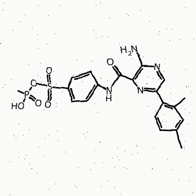 Cc1ccc(-c2cnc(N)c(C(=O)Nc3ccc(S(=O)(=O)OP(C)(=O)O)cc3)n2)c(C)c1